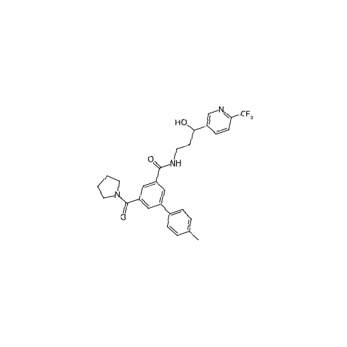 Cc1ccc(-c2cc(C(=O)NCCC(O)c3ccc(C(F)(F)F)nc3)cc(C(=O)N3CCCC3)c2)cc1